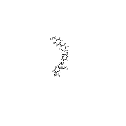 CCCC1CCC(c2ccc(OC(=O)/C=C\C(=O)OCc3ccc(N)cc3N)cc2)CC1